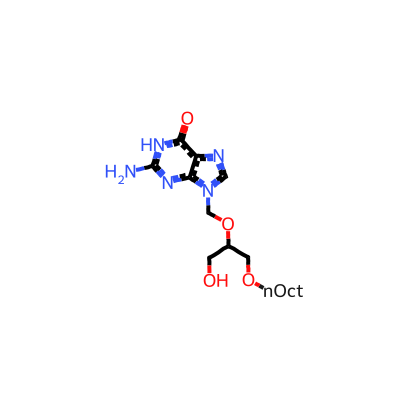 CCCCCCCCOCC(CO)OCn1cnc2c(=O)[nH]c(N)nc21